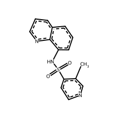 Cc1cnccc1S(=O)(=O)Nc1cccc2cccnc12